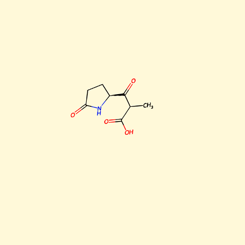 CC(C(=O)O)C(=O)[C@@H]1CCC(=O)N1